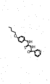 CCCCOc1ccc(NC(=S)NC(=O)c2cccnc2)cc1